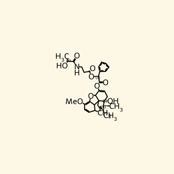 COC1=C2OC3C(OC(=O)[C@@H](OC(=O)CCNC(=O)[C@H](C)O)c4ccccc4)=CC[C@@]4(O)[C@@H](C)N(C)CCC34C2C(C)C=C1